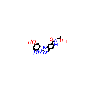 CC(O)CNC(=O)c1ccc2cnc(N[C@H]3CC[C@H](O)CC3)nc2c1